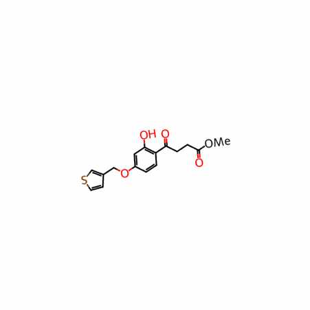 COC(=O)CCC(=O)c1ccc(OCc2ccsc2)cc1O